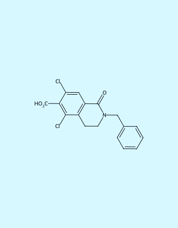 O=C(O)c1c(Cl)cc2c(c1Cl)CCN(Cc1ccccc1)C2=O